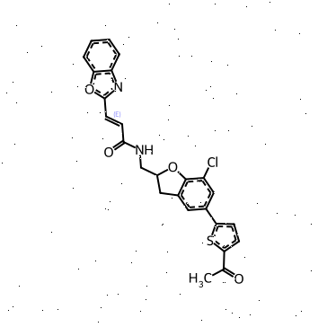 CC(=O)c1ccc(-c2cc(Cl)c3c(c2)CC(CNC(=O)/C=C/c2nc4ccccc4o2)O3)s1